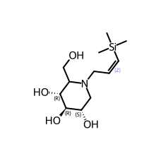 C[Si](C)(C)/C=C\CN1C[C@H](O)[C@@H](O)[C@H](O)C1CO